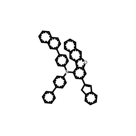 C1=C(c2cc(N(c3ccc(-c4ccccc4)cc3)c3ccc(-c4ccc5ccccc5c4)cc3)c3c(c2)oc2cc4ccccc4cc23)Cc2ccccc21